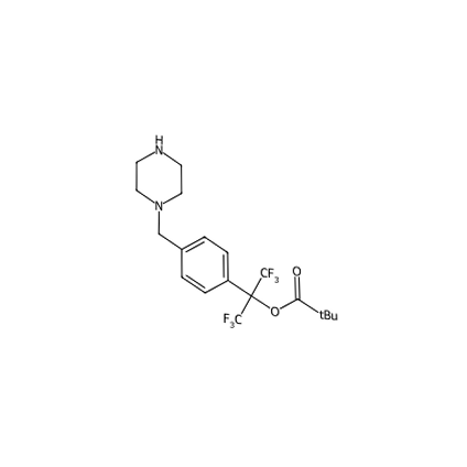 CC(C)(C)C(=O)OC(c1ccc(CN2CCNCC2)cc1)(C(F)(F)F)C(F)(F)F